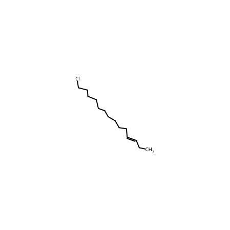 CCC=CCCCCCCCCCCCl